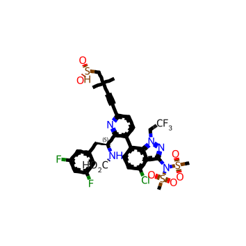 CC(C)(C#Cc1ccc(-c2ccc(Cl)c3c(N(S(C)(=O)=O)S(C)(=O)=O)nn(CC(F)(F)F)c23)c([C@H](Cc2cc(F)cc(F)c2)NC(=O)O)n1)C[SH](=O)=O